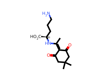 CC(N[C@H](CCCN)C(=O)O)=C1C(=O)CC(C)(C)CC1=O